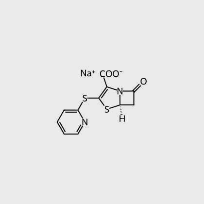 O=C([O-])C1=C(Sc2ccccn2)S[C@@H]2CC(=O)N12.[Na+]